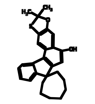 CC1(C)Oc2cc3c(O)cc4c(c3cc2S1)-c1ccccc1C41CCCCCCC1